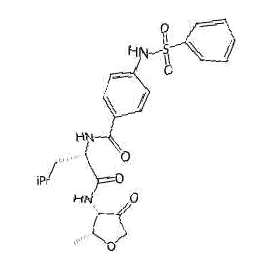 CC(C)C[C@H](NC(=O)c1ccc(NS(=O)(=O)c2ccccc2)cc1)C(=O)N[C@@H]1C(=O)CO[C@@H]1C